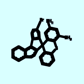 Bc1cc(B)c2c(c1)C1(c3ccccc3S2)c2cc(Br)ccc2-c2c1ccc1ccccc21